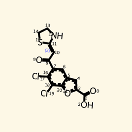 O=C(O)c1cc2cc(C(=O)/C=C3/NCCS3)c(Cl)c(Cl)c2o1